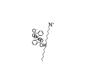 CCCCCCCCCCCCCCCC[N+](C)(C)C.O=C([O-])c1ccccc1S(=O)(=O)c1ccccc1C(=O)O